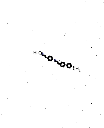 C/C=C/CC[C@H]1CC[C@H](/C=C/CCC2CCC([C@H]3CC[C@H](CC)CC3)CC2)CC1